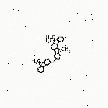 Cn1c2ccccc2c2cc(Cc3ccc4c(c3)c3ccc5c(c3n4C)-c3ccccc3C5(C)C)ccc21